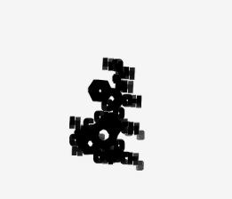 CC(=O)O[C@H]1C(=O)[C@@]2(C)[C@H]([C@H](C)[C@]3(O)C[C@H](OC(=O)[C@H](O)[C@@H](BCNO)c4ccccc4)C(C)=C1C3(C)C)[C@]1(C)CO[C@@H]1C[C@@H]2O